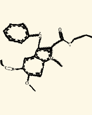 CCOC(=O)c1c(Sc2ccccc2)c2cc(OC)c(OC)cc2n1C